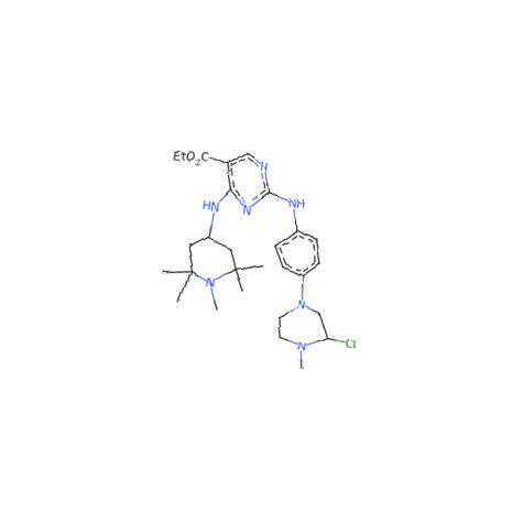 CCOC(=O)c1cnc(Nc2ccc(N3CCN(C)C(Cl)C3)cc2)nc1NC1CC(C)(C)N(C)C(C)(C)C1